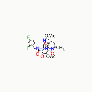 COC1=NO[C@@]2(CC[C@H](C)N3C[C@H]2n2cc(C(=O)NCc4ccc(F)cc4F)c(=O)c(OC(C)=O)c2C3=O)C1